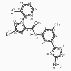 Nc1nnc(-c2cc(Cl)cc(NC(=O)c3cc(Br)nn3-c3ncccc3Cl)c2)s1